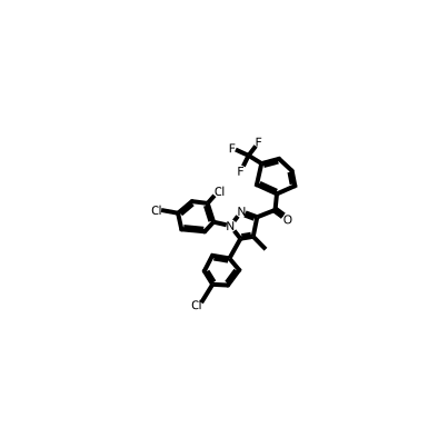 Cc1c(C(=O)c2cccc(C(F)(F)F)c2)nn(-c2ccc(Cl)cc2Cl)c1-c1ccc(Cl)cc1